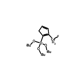 CCC(C)[O][Zr]([O]C(C)CC)([O]C(C)CC)[C]1=[C]([GeH2][F])C=CC1